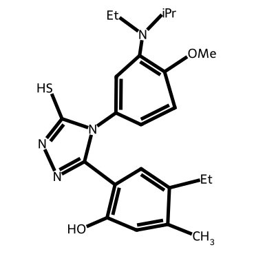 CCc1cc(-c2nnc(S)n2-c2ccc(OC)c(N(CC)C(C)C)c2)c(O)cc1C